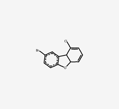 ClC1=CC=CC2Oc3ccc(Br)cc3C12